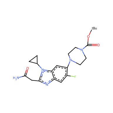 CC(C)(C)OC(=O)N1CCN(c2cc3c(cc2F)nc(CC(N)=O)n3C2CC2)CC1